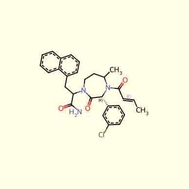 C/C=C/C(=O)N1C(C)CCN(C(Cc2cccc3ccccc23)C(N)=O)C(=O)[C@H]1c1cccc(Cl)c1